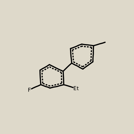 CCc1cc(F)ccc1-c1ccc(C)cc1